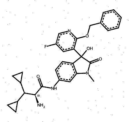 CN1C(=O)C(O)(c2cc(F)cnc2OCc2ccccc2)c2ccc(NC(=O)[C@@H](N)C(C3CC3)C3CC3)cc21